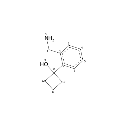 NCc1ccccc1C1(O)CCC1